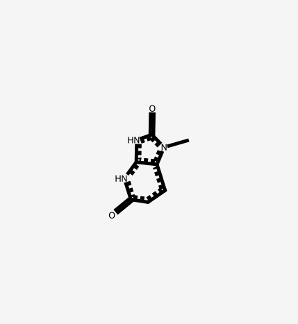 Cn1c(=O)[nH]c2[nH]c(=O)ccc21